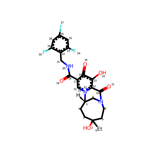 CCC1(O)CC[C@H]2CN(CC1)C(=O)c1c(O)c(=O)c(C(=O)NCc3c(F)cc(F)cc3F)cn12